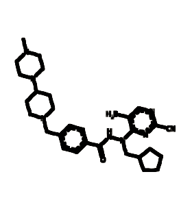 Bc1cnc(C#N)nc1N(CC1CCCC1)NC(=O)c1ccc(CN2CCC(N3CCN(C)CC3)CC2)cc1